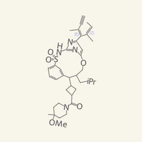 C#C/C(C)=C(\C(C)=C/C)c1cc2nc(n1)NS(=O)(=O)c1cccc(c1)C(C1CC(C(=O)N3CCC(C)(OC)CC3)C1)C(CC(C)C)CO2